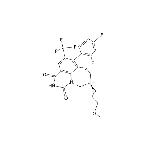 COCCO[C@@H]1CSc2c(-c3ccc(F)cc3F)c(C(F)(F)F)cc3c(=O)[nH]c(=O)n(c23)C1